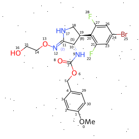 COc1ccc(COC(=O)N[C@@H]2/C(=N/OCCO)NC[C@H]2c2c(F)cc(Br)cc2F)cc1